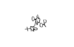 CC(=O)OC1CN(C)C(=O)N1c1cc(C(C)(C)C)no1